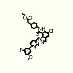 CCOC(=O)CC1CCC(NC(=O)c2cc(Cl)cc3cnn(Cc4ccc(-c5cc(F)cc(OC)c5)nn4)c23)CC1